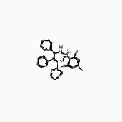 Cc1cc(C)c(S(=O)(=O)NC(C(=Cc2ccccc2)c2ccccc2)c2ccccc2)c(C)c1